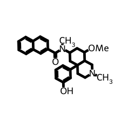 COC1CC(N(C)C(=O)c2ccc3ccccc3c2)CC2(c3cccc(O)c3)CCN(C)CC12